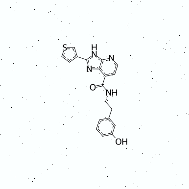 O=C(NCCc1cccc(O)c1)c1ccnc2[nH]c(-c3ccsc3)nc12